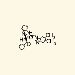 Cc1cc2ncn(CC(O)Cn3c(CNC(=O)c4ccccc4)nc4ccccc43)c2cc1C